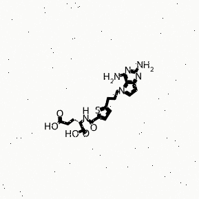 Nc1nc(N)c2c(ccn2CCCc2ccc(C(=O)N[C@@H](CCC(=O)O)C(=O)O)s2)n1